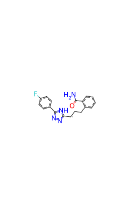 NC(=O)c1ccccc1CC[CH]c1nnc(-c2ccc(F)cc2)[nH]1